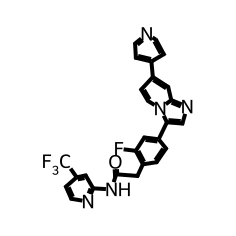 O=C(Cc1ccc(-c2cnc3cc(-c4ccncc4)ccn23)cc1F)Nc1cc(C(F)(F)F)ccn1